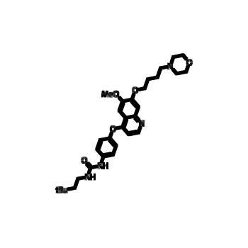 COc1cc2c(Oc3ccc(NC(=O)NCCC(C)(C)C)cc3)ccnc2cc1OCCCCN1CCOCC1